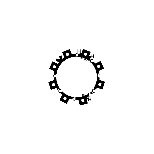 CC1(C)C2CCC2CC2CCC2CC2CCC2CC2CC[C@H]2CCC2CCC2CC2CCC2C[C@H]2CC[C@H]2CC2CCC21